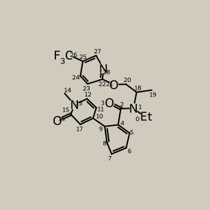 CCN(C(=O)c1ccccc1-c1ccn(C)c(=O)c1)C(C)COc1ccc(C(F)(F)F)cn1